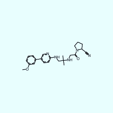 COc1cccc(-c2ccc(NCC(C)(C)NCC(=O)N3CCCC3C#N)nc2)c1